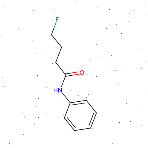 O=C(CCCF)Nc1cc[c]cc1